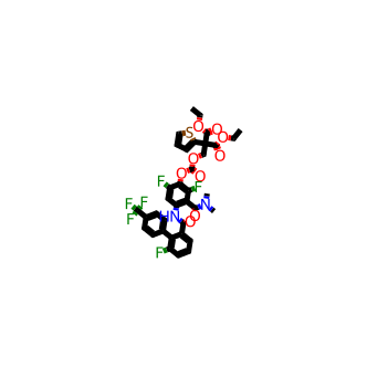 CCOC(=O)C(COC(=O)Oc1c(F)cc(NC(=O)c2cccc(F)c2-c2ccc(C(F)(F)F)cc2)c(C(=O)N(C)C)c1F)(C(=O)OCC)c1cccs1